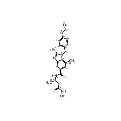 CCCc1nc2cc(C(=O)N[C@H](C)CC(=O)NO)cc(C)c2n1Cc1ccc(OCO)cc1